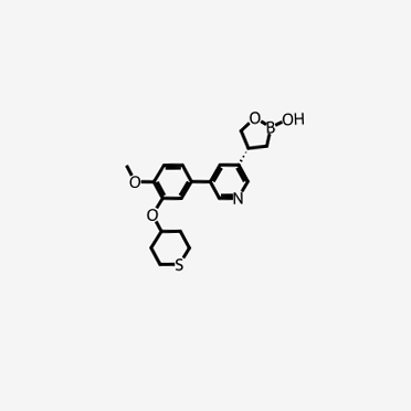 COc1ccc(-c2cncc([C@@H]3COB(O)C3)c2)cc1OC1CCSCC1